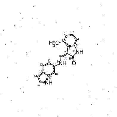 Cc1cccc2c1/C(=C/Nc1ccc3cc[nH]c3c1)C(=O)N2